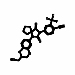 N#Cc1ccc(N2C(=O)C3(CCCC3)N(c3ccc4c(c3)OCC(CO)O4)C2=S)cc1C(F)(F)F